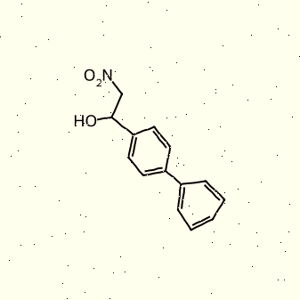 O=[N+]([O-])CC(O)c1ccc(-c2ccccc2)cc1